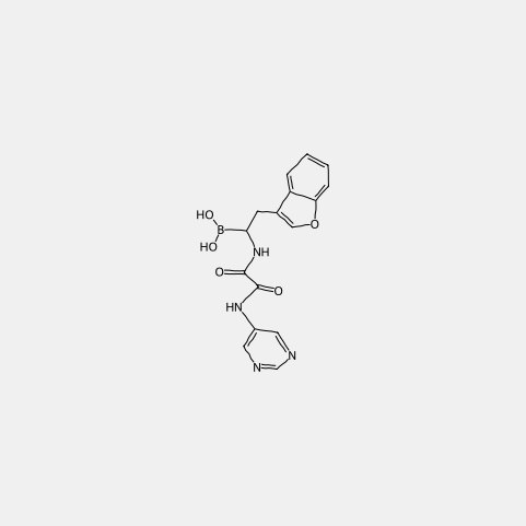 O=C(Nc1cncnc1)C(=O)NC(Cc1coc2ccccc12)B(O)O